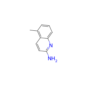 Cc1cccc2nc(N)ccc12